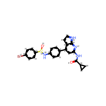 O=C(Nc1cc(-c2ccc(N[S+]([O-])c3ccc(Br)cc3)cc2)c2cc[nH]c2n1)C1CC1